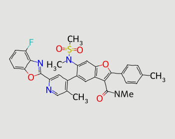 CNC(=O)c1c(-c2ccc(C)cc2)oc2cc(N(C)S(C)(=O)=O)c(-c3cc(-c4nc5c(F)cccc5o4)ncc3C)cc12